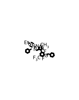 CCN1CCN(c2ncc3c(-c4cc(C(F)(F)F)c(F)c(OCc5ccccc5)c4F)nn(C)c3n2)[C@H](Cc2ccccc2)C1